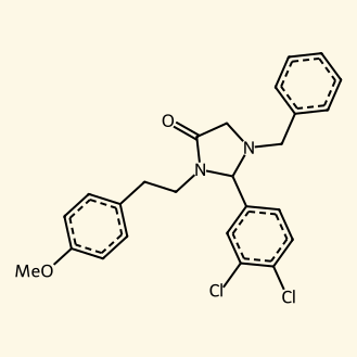 COc1ccc(CCN2C(=O)CN(Cc3ccccc3)C2c2ccc(Cl)c(Cl)c2)cc1